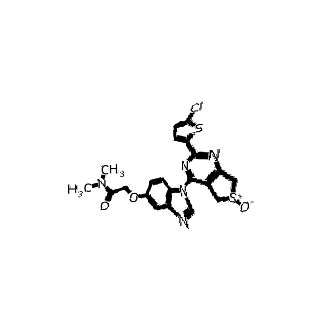 CN(C)C(=O)COc1ccc2c(c1)ncn2-c1nc(-c2ccc(Cl)s2)nc2c1C[S+]([O-])C2